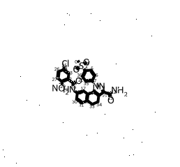 CS(=O)(=O)c1ccc(-n2nc(C(N)=O)c3c2-c2cc(NC(=O)c4cc(Cl)ccc4[N+](=O)[O-])ccc2CC3)cc1